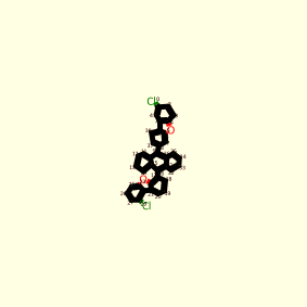 Clc1ccc2oc3cc(-c4c5ccccc5c(-c5cccc6c5oc5cccc(Cl)c56)c5ccccc45)ccc3c2c1